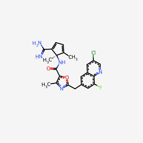 CC1=CC=C(C(=N)N)[C@]1(C)NC(=O)c1oc(Cc2cc(F)c3ncc(Cl)cc3c2)nc1C